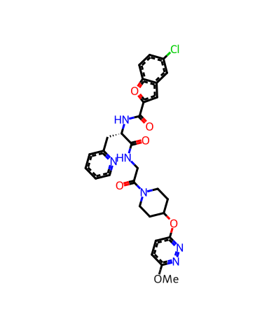 COc1ccc(OC2CCN(C(=O)CNC(=O)[C@H](Cc3ccccn3)NC(=O)c3cc4cc(Cl)ccc4o3)CC2)nn1